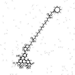 Nc1ccc2c(-c3ccc(C(=O)NC(CCCCNC(=O)CCOCCOCCOCCOCCNC(=O)OCC4C5CCCCCCC54)C(=O)O)cc3C(=O)O)c3cc/c(=N\I)c(S(=O)(=O)O)c-3oc2c1S(=O)(=O)O